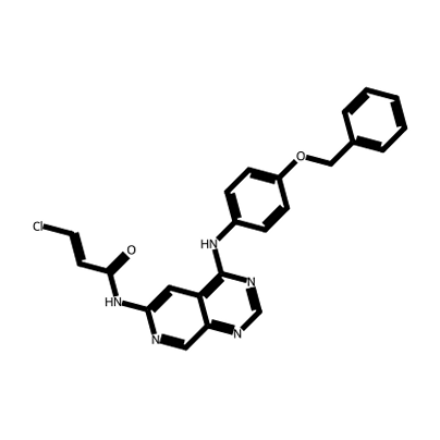 O=C(C=CCl)Nc1cc2c(Nc3ccc(OCc4ccccc4)cc3)ncnc2cn1